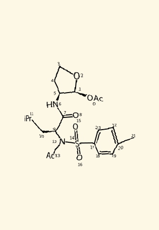 CC(=O)O[C@@H]1OCC[C@@H]1NC(=O)[C@H](CC(C)C)N(C(C)=O)S(=O)(=O)c1ccc(C)cc1